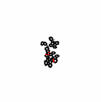 c1ccc(-c2ccccc2N(c2ccc3c(c2)C2(c4ccccc4-3)c3ccccc3-c3c2sc2cc(-c4ccc5cc(N(c6ccc7c(c6)-c6c(sc8ccccc68)C76c7ccccc7-c7ccccc76)c6ccc7ccccc7c6)ccc5c4)ccc32)c2cc3ccccc3c3ccccc23)cc1